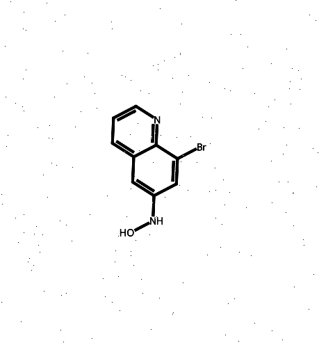 ONc1cc(Br)c2ncccc2c1